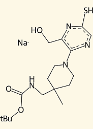 CC1(CNC(=O)OC(C)(C)C)CCN(c2ncc(S)nc2CO)CC1.[Na]